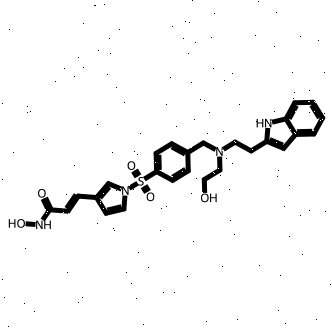 O=C(/C=C/c1ccn(S(=O)(=O)c2ccc(CN(CCO)CCc3cc4ccccc4[nH]3)cc2)c1)NO